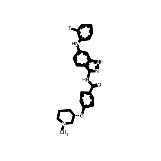 CN1CCC[C@H](Oc2ccc(C(=O)Nc3n[nH]c4cc(Nc5ccccc5F)ccc34)cc2)C1